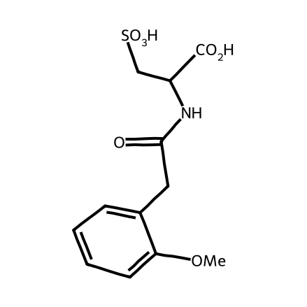 COc1ccccc1CC(=O)NC(CS(=O)(=O)O)C(=O)O